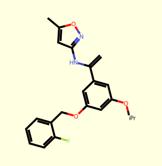 C=C(Nc1cc(C)on1)c1cc(OCc2ccccc2F)cc(OC(C)C)c1